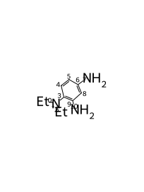 CCN(CC)c1ccc(N)cc1N